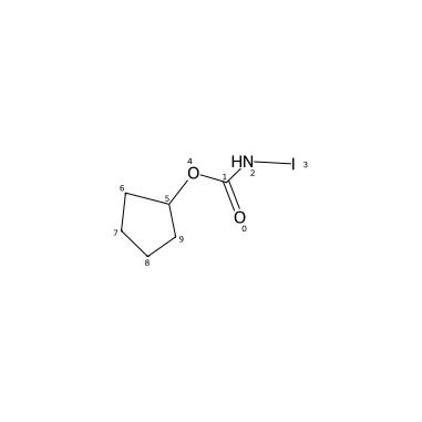 O=C(NI)OC1CCCC1